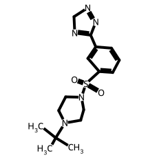 CC(C)(C)N1CCN(S(=O)(=O)c2cccc(C3=NCN=N3)c2)CC1